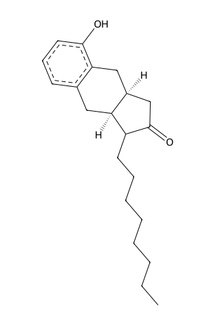 CCCCCCCCC1C(=O)C[C@@H]2Cc3c(O)cccc3C[C@H]12